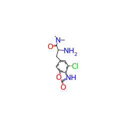 CN(C)C(=O)C(N)Cc1cc(Cl)c2[nH]c(=O)oc2c1